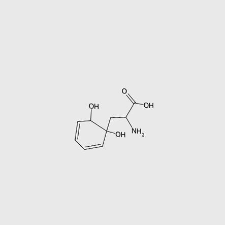 NC(CC1(O)C=CC=CC1O)C(=O)O